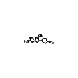 Cc1nc(N=C(N)N)sc1-c1ccc(N)cc1